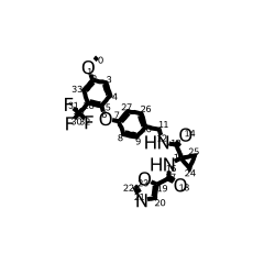 COc1ccc(Oc2ccc(CNC(=O)C3(NC(=O)c4cnco4)CC3)cc2)c(C(F)(F)F)c1